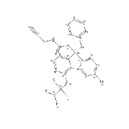 C#CCOC(=O)N[C@](Cc1ccccc1)(c1cccc(OC(F)(F)C(C)F)c1)c1ccc(Cl)cn1